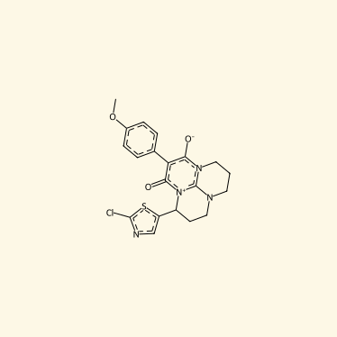 COc1ccc(-c2c([O-])n3c4[n+](c2=O)C(c2cnc(Cl)s2)CCN4CCC3)cc1